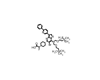 C[Si](C)(C)CCOCN(COCC[Si](C)(C)C)c1c(Br)c([C@H]2CC[C@H](C(F)C(=O)O)CC2)nc2c(-c3ccc(-c4ccccc4)nc3)cnn12